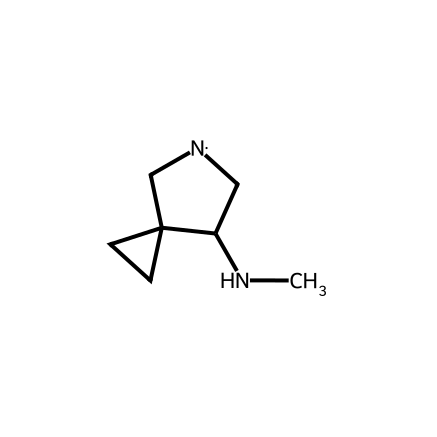 CNC1C[N]CC12CC2